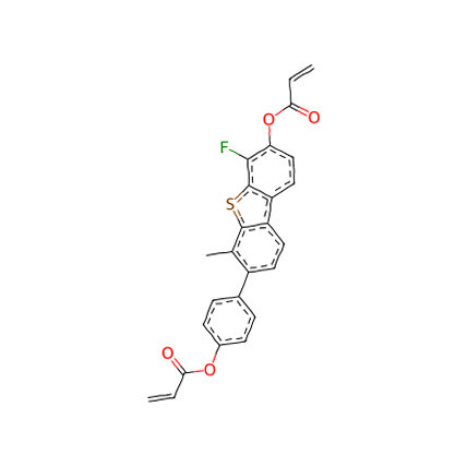 C=CC(=O)Oc1ccc(-c2ccc3c(sc4c(F)c(OC(=O)C=C)ccc43)c2C)cc1